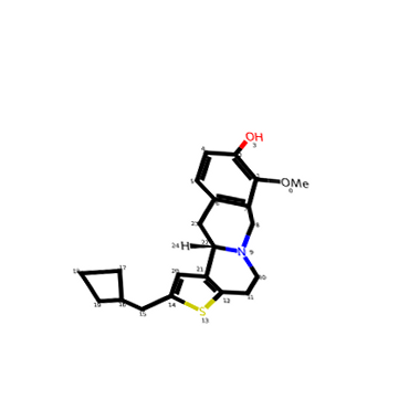 COc1c(O)ccc2c1CN1CCc3sc(CC4CCC4)cc3[C@@H]1C2